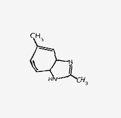 CC1=CC2N=C(C)NC2C=C1